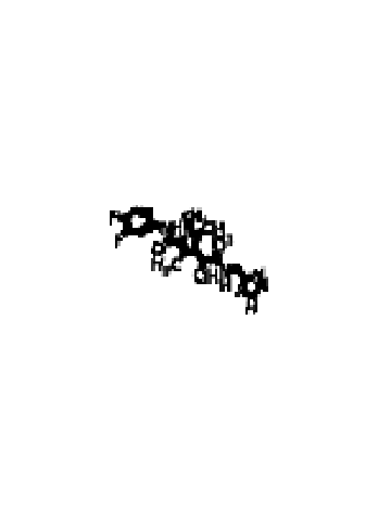 Cc1c(C(O)C(=O)NCc2nn[nH]n2)c(C)n(C)c1C(=O)Nc1ccc(F)c(F)c1